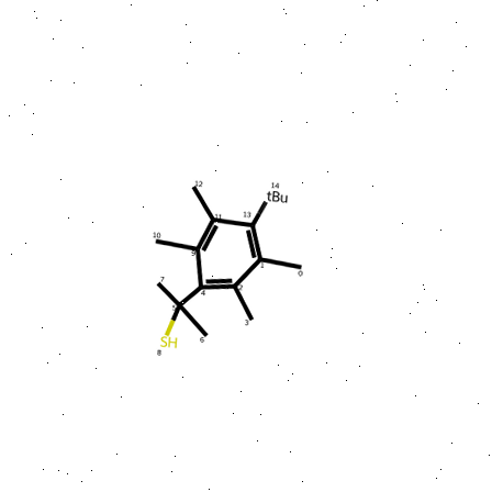 Cc1c(C)c(C(C)(C)S)c(C)c(C)c1C(C)(C)C